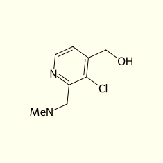 CNCc1nccc(CO)c1Cl